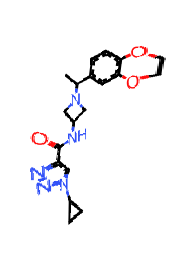 CC(c1ccc2c(c1)OCCO2)N1CC(NC(=O)c2cn(C3CC3)nn2)C1